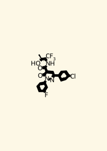 C[C@H](O)[C@H](NC(=O)c1cc(-c2ccc(Cl)cc2)nn(-c2cccc(F)c2)c1=O)C(F)(F)F